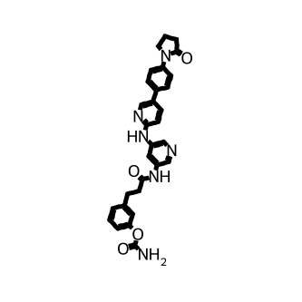 NC(=O)Oc1cccc(CCC(=O)Nc2cncc(Nc3ccc(-c4ccc(N5CCCC5=O)cc4)cn3)c2)c1